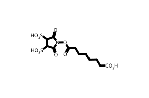 O=C(O)CCCCCCC(=O)ON1C(=O)C(S(=O)(=O)O)C(S(=O)(=O)O)C1=O